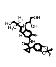 CC(C)(CO)C1=C[C@@H]2CC(NC(=O)C3(c4ccc5c(c4)OC(F)(F)O5)CC3)=C(F)C=C2N1C[C@H](O)CO